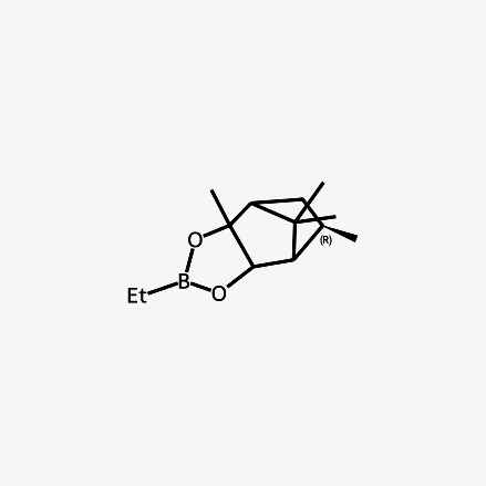 CCB1OC2C3[C@H](C)CC(C3(C)C)C2(C)O1